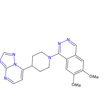 COc1cc2cnnc(N3CCC(c4ccnc5ncnn45)CC3)c2cc1OC